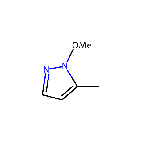 COn1nccc1C